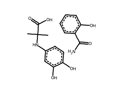 CC(C)(Nc1ccc(O)c(O)c1)C(=O)O.NC(=O)c1ccccc1O